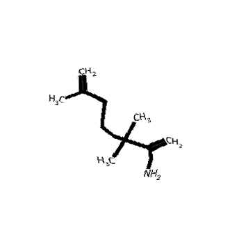 C=C(C)CCC(C)(C)C(=C)N